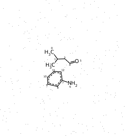 CC(C)CC=O.Nc1ccccc1